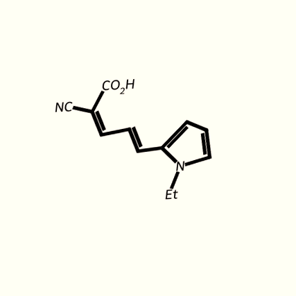 CCn1cccc1C=CC=C(C#N)C(=O)O